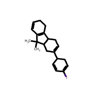 CC1(C)C2=C(CCC=C2)C2CC=C(C3C=CC(I)=CC3)CC21